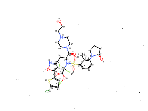 Cc1c(N2CCCC2=O)cccc1S(=O)(=O)N([C@@H](Cc1cc(-c2ccc(Cl)s2)on1)C(=O)N1CCN(CCO)CC1)C(F)(F)C(=O)OF